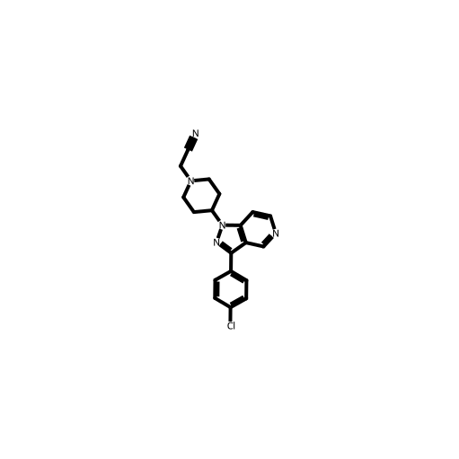 N#CCN1CCC(n2nc(-c3ccc(Cl)cc3)c3cnccc32)CC1